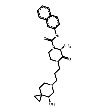 C[C@H]1C(=O)N(CCCN2CCC3(CC3)[C@H](O)C2)CCN1C(=O)Nc1ccc2ccccc2c1